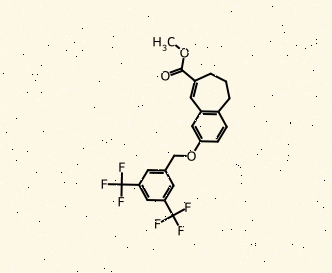 COC(=O)C1=Cc2cc(OCc3cc(C(F)(F)F)cc(C(F)(F)F)c3)ccc2CCC1